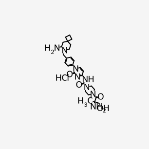 C[C@](N)(CO)C(=O)N1CCN(C(=O)Nc2ccn(-c3ccc(CN4CCC5(CCC5)CC4N)cc3)c(=O)n2)CC1.Cl